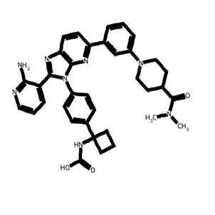 CN(C)C(=O)C1CCN(c2cccc(-c3ccc4nc(-c5cccnc5N)n(-c5ccc(C6(NC(=O)O)CCC6)cc5)c4n3)c2)CC1